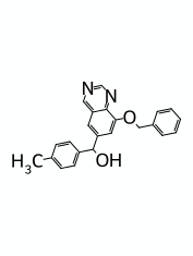 Cc1ccc(C(O)c2cc(OCc3ccccc3)c3ncncc3c2)cc1